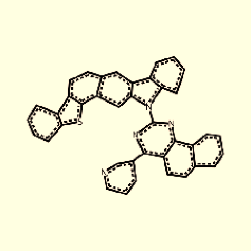 c1cncc(-c2nc(-n3c4ccccc4c4cc5ccc6c7ccccc7sc6c5cc43)nc3c2ccc2ccccc23)c1